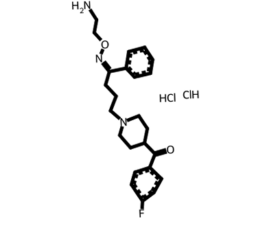 Cl.Cl.NCCO/N=C(/CCCN1CCC(C(=O)c2ccc(F)cc2)CC1)c1ccccc1